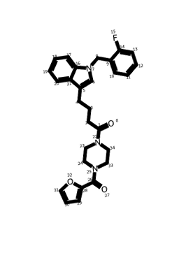 O=C(CCCc1cn(Cc2ccccc2F)c2ccccc12)N1CCN(C(=O)c2ccco2)CC1